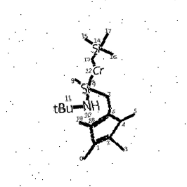 CC1=C(C)C(C)C(C[Si](C)(NC(C)(C)C)[Cr][CH2][Si](C)(C)C)=C1C